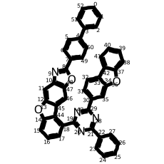 c1ccc(-c2ccc(-c3nc4cc5oc6cccc(-c7nc(-c8ccccc8)nc(-c8ccc9c(c8)oc8ccccc89)n7)c6c5cc4o3)cc2)cc1